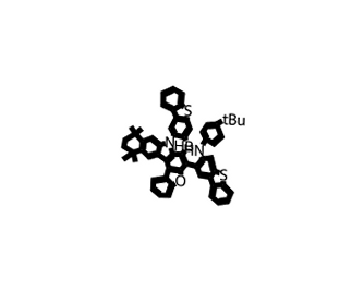 CC(C)(C)c1ccc(Nc2cc3sc4ccccc4c3cc2-c2c3c4c(c5cc6c(cc5n4-c4cc5c(cc4B3)sc3ccccc35)C(C)(C)CCC6(C)C)c3c2oc2ccccc23)cc1